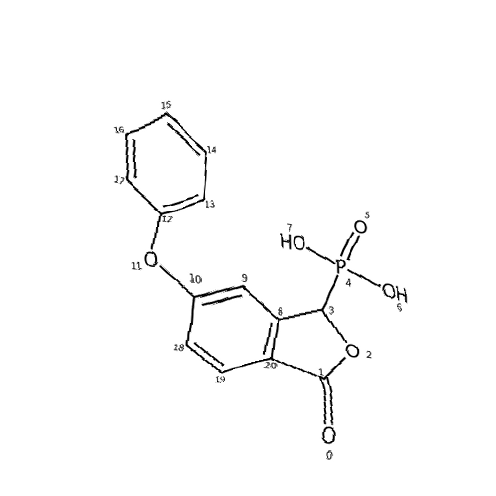 O=C1OC(P(=O)(O)O)c2cc(Oc3ccccc3)ccc21